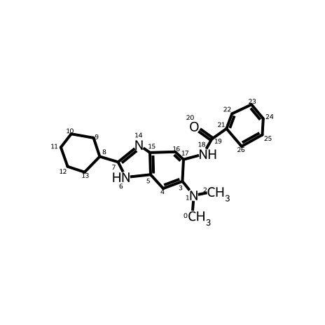 CN(C)c1cc2[nH]c(C3CCCCC3)nc2cc1NC(=O)c1ccccc1